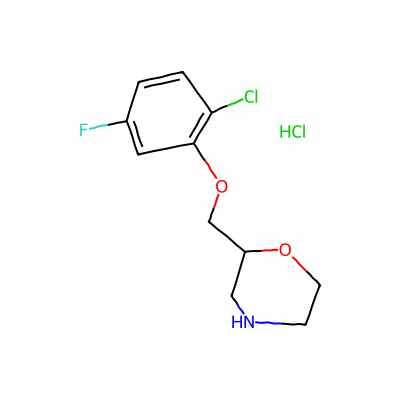 Cl.Fc1ccc(Cl)c(OCC2CNCCO2)c1